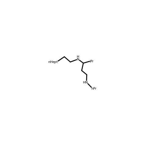 CCCCCCCCCNC(CCNCCC)C(C)C